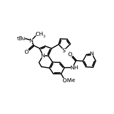 COc1cc2c(cc1NC(=O)c1cccnc1)-c1c(-c3cccs3)cc(C(=O)N(C)C(C)(C)C)n1CC2